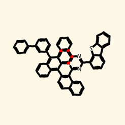 c1ccc(-c2cccc(-c3c4ccccc4c(-c4ccc5ccccc5c4-c4nc(-c5ccccc5)nc(-c5cccc6c5sc5ccccc56)n4)c4ccccc34)c2)cc1